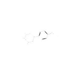 Cl.O=[N+]([O-])c1ccc(C2CCNCC2)cc1